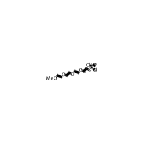 COCCOCCOCCOCCOP(=O)(Cl)Cl